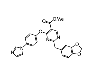 COC(=O)c1cnc(Cc2ccc3c(c2)OCO3)nc1Oc1ccc(-n2ccnc2)cc1